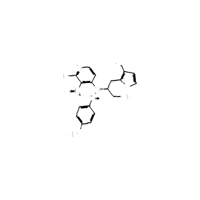 CCC(Cc1sccc1Cl)N(c1ccnc(F)c1[N+](=O)[O-])S(=O)(=O)c1ccc(C)cc1